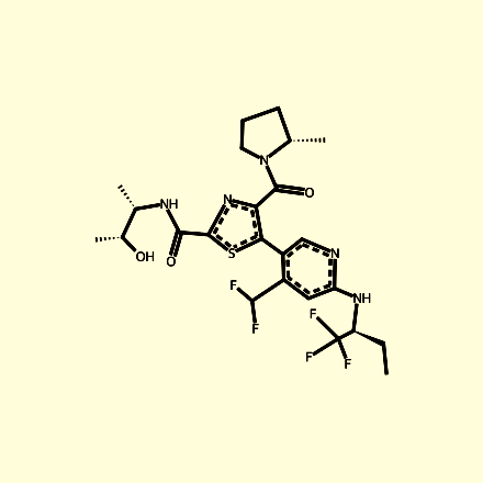 CC[C@H](Nc1cc(C(F)F)c(-c2sc(C(=O)N[C@@H](C)[C@@H](C)O)nc2C(=O)N2CCC[C@@H]2C)cn1)C(F)(F)F